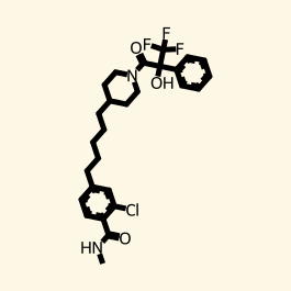 CNC(=O)c1ccc(CCCCCC2CCN(C(=O)C(O)(c3ccccc3)C(F)(F)F)CC2)cc1Cl